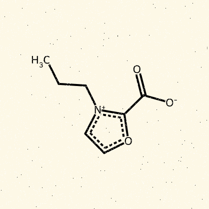 CCC[n+]1ccoc1C(=O)[O-]